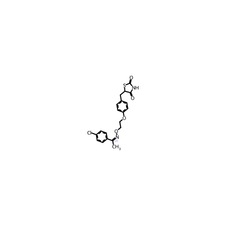 C/C(=N/OCCOc1ccc(CC2SC(=O)NC2=O)cc1)c1ccc(Cl)cc1